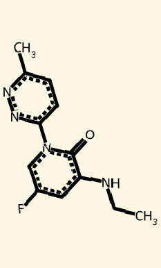 CCNc1cc(F)cn(-c2ccc(C)nn2)c1=O